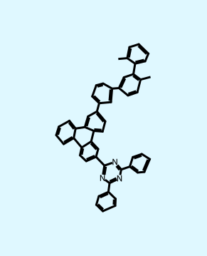 Cc1ccccc1-c1cc(-c2cccc(-c3ccc4c(c3)c3ccccc3c3ccc(-c5nc(-c6ccccc6)nc(-c6ccccc6)n5)cc34)c2)ccc1C